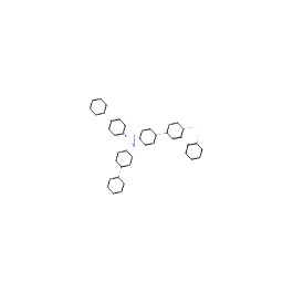 c1ccc(-c2ccc(N(c3ccc(-c4ccccc4)cc3)c3ccc(-c4ccc5c(c4)-c4ccccc4CC5)cc3)cc2)cc1